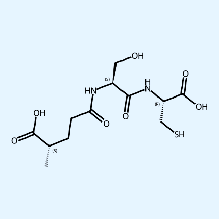 C[C@@H](CCC(=O)N[C@@H](CO)C(=O)N[C@@H](CS)C(=O)O)C(=O)O